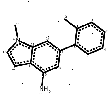 Cc1ccccc1-c1cc(N)c2ccn(C)c2c1